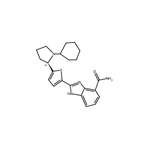 NC(=O)c1cccc2[nH]c(-c3ccc([C@H]4CCCN4C4CCCCC4)s3)nc12